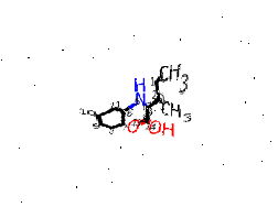 CC[C@H](C)[C@H](NC1CCCCC1)C(=O)O